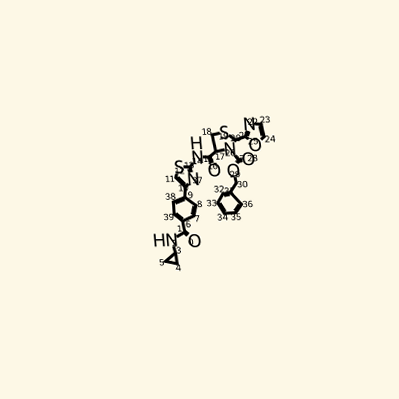 O=C(NC1CC1)c1ccc(-c2csc(NC(=O)C3CSC(c4ncco4)N3C(=O)OCc3ccccc3)n2)cc1